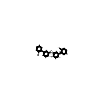 Ic1ccccc1-c1cccc(Oc2cccc(-c3ccccc3I)c2)c1